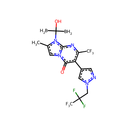 BC(B)(O)n1c(C)cn2c(=O)c(-c3cnn(CC(F)(F)C(F)(F)F)c3)c(C(F)(F)F)nc12